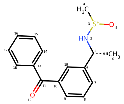 C[C@@H](N[S+](C)[O-])c1cccc(C(=O)c2ccccc2)c1